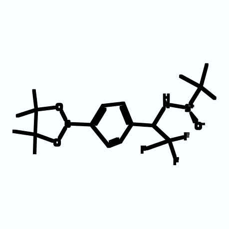 CC(C)(C)[S@@+]([O-])NC(c1ccc(B2OC(C)(C)C(C)(C)O2)cc1)C(F)(F)F